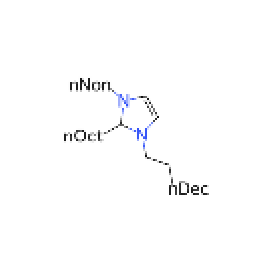 CCCCCCCCCCCCN1C=CN(CCCCCCCCC)C1CCCCCCCC